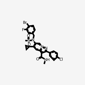 CNC(=O)c1c(-c2ccc(Cl)cc2)nn2cc(N(Cc3ccc(Br)c(F)c3)S(C)(=O)=O)c(C3CC3)cc12